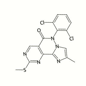 CSc1ncc2c(=O)n(-c3c(Cl)cccc3Cl)n3cc(C)nc3c2n1